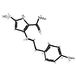 CNC(=O)c1[nH]c(C(=O)O)cc1OCCc1ccc(OC)cc1